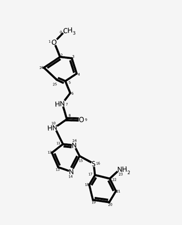 COc1ccc(CNC(=O)Nc2ccnc(Sc3ccccc3N)n2)cc1